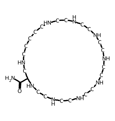 NC(=O)C1CNCCCCCNCCNCCNCCNCCNCCNCCNCCN1